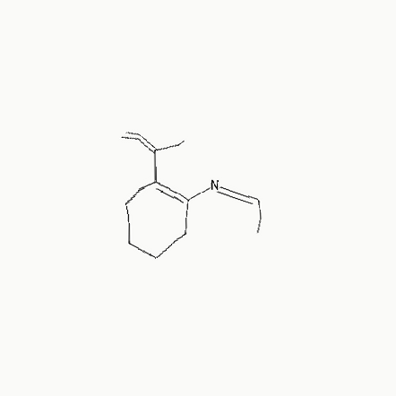 C=C(C)C1=C(/N=C\C)CCCC1